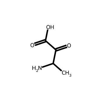 CC(N)C(=O)C(=O)O